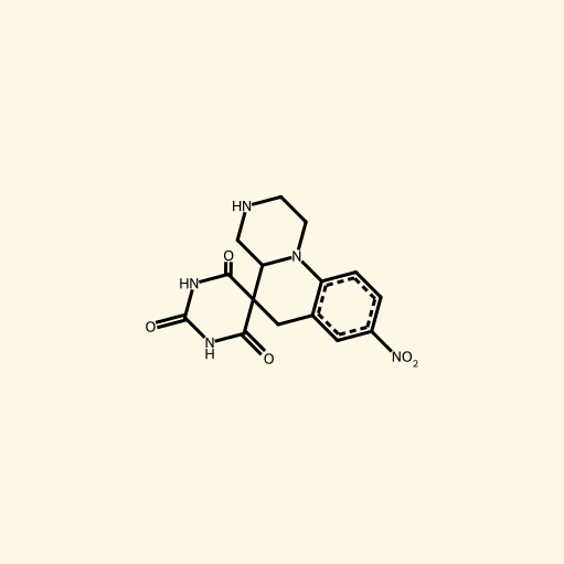 O=C1NC(=O)C2(Cc3cc([N+](=O)[O-])ccc3N3CCNCC32)C(=O)N1